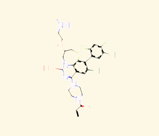 C=CC(=O)N1[C@H](C)CN(C2=NC(O)N3CC(OCCNC)CSc4c(-c5cc(Cl)c(F)cc5F)c(Cl)cc2c43)C[C@@H]1C